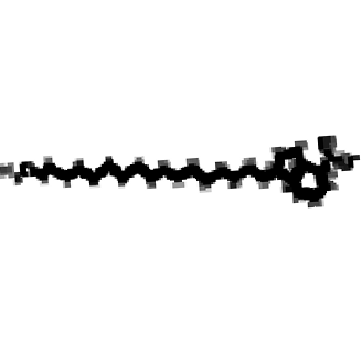 CCCCCCCCCCCCCCCCCCC1CCc2c1cccc2[N+](=O)[O-]